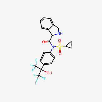 O=C(C1NCc2ccccc21)N(c1ccc(C(O)(C(F)(F)F)C(F)(F)F)cc1)S(=O)(=O)C1CC1